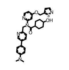 CN(C)c1ccc(-c2ccc(CN(C(=O)C3CCC(O)CC3)c3cc(OCc4ccns4)ccn3)nc2)cc1